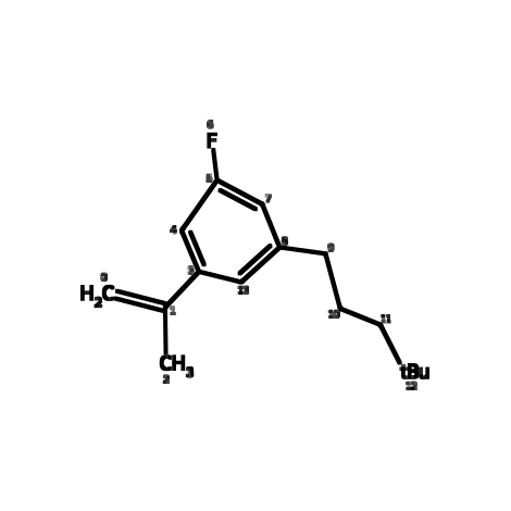 C=C(C)c1cc(F)cc(CCCC(C)(C)C)c1